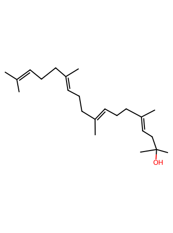 CC(C)=CCCC(C)=CCCC(C)=CCCC(C)=CCC(C)(C)O